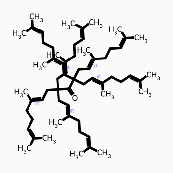 CC(C)=CCC/C(C)=C/CC(C/C=C(\C)CCC=C(C)C)(C/C=C(\C)CCC=C(C)C)C(=O)C(C/C=C(\C)CCC=C(C)C)(C/C=C(\C)CCC=C(C)C)C/C=C(\C)CCC=C(C)C